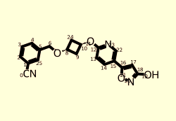 N#Cc1cccc(CO[C@H]2C[C@@H](Oc3ccc(-c4cc(O)no4)cn3)C2)c1